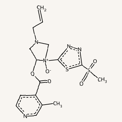 C=CCN1CC(OC(=O)c2ccncc2C)[N+]([O-])(c2nnc(S(C)(=O)=O)s2)C1